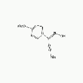 CCCCC#C/C(=N\O)c1ccc(OC)cc1